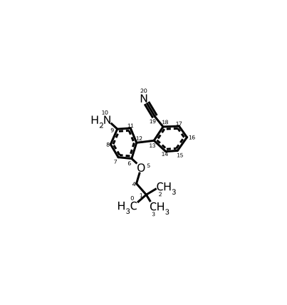 CC(C)(C)COc1ccc(N)cc1-c1ccccc1C#N